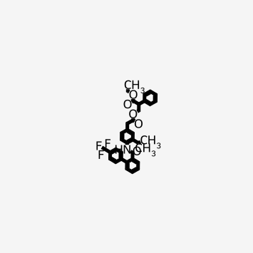 CCOC(=O)C(COC(=O)Cc1ccc(NC(=O)c2ccccc2-c2ccc(C(F)(F)F)cc2)c(C(C)C)c1)c1ccccc1